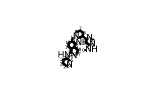 CNc1cc(-c2cccnc2Nc2c(C)ccc3c(Nc4cccnc4)nccc23)ncn1